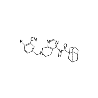 N#Cc1cc(CN2CCc3c(ncnc3NC(=O)C34CC5CC(CC(C5)C3)C4)C2)ccc1F